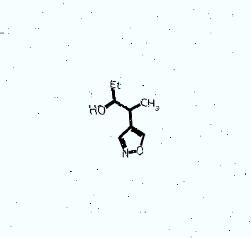 CCC(O)C(C)c1cnoc1